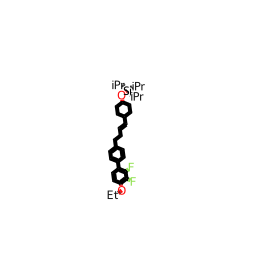 CCOc1ccc(-c2ccc(CCC=CC3CCC(O[Si](C(C)C)(C(C)C)C(C)C)CC3)cc2)c(F)c1F